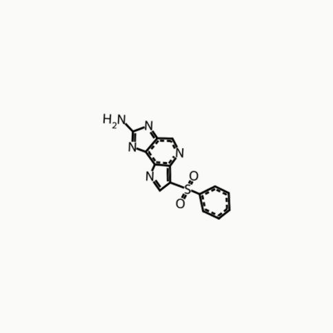 NC1=Nc2c3c(ncc2=N1)=C(S(=O)(=O)c1ccccc1)C=N3